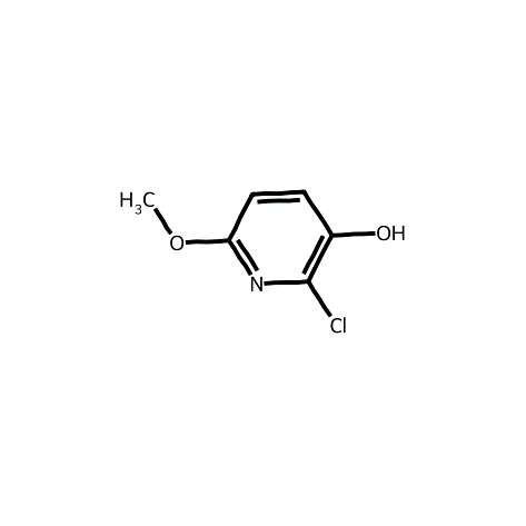 COc1ccc(O)c(Cl)n1